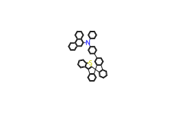 c1ccc(N(c2ccc(-c3ccc4c(c3)C3(c5ccccc5-4)c4ccccc4-c4c3sc3ccccc43)cc2)c2cc3ccccc3c3ccccc23)cc1